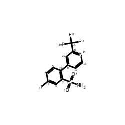 NS(=O)(=O)c1cc(I)ccc1-c1ccnc(C(F)(F)F)c1